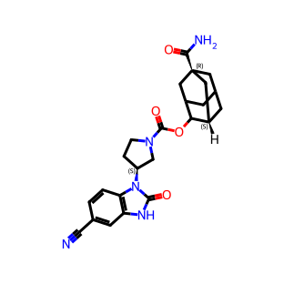 N#Cc1ccc2c(c1)[nH]c(=O)n2[C@H]1CCN(C(=O)OC2C3CC4C[C@H]2C[C@@](C(N)=O)(C4)C3)C1